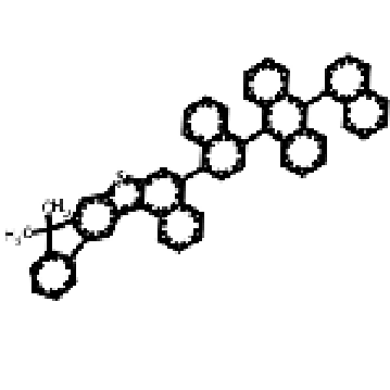 CC1(C)c2ccccc2-c2cc3c(cc21)sc1cc(-c2ccc(-c4c5ccccc5c(-c5cccc6ccccc56)c5ccccc45)c4ccccc24)c2ccccc2c13